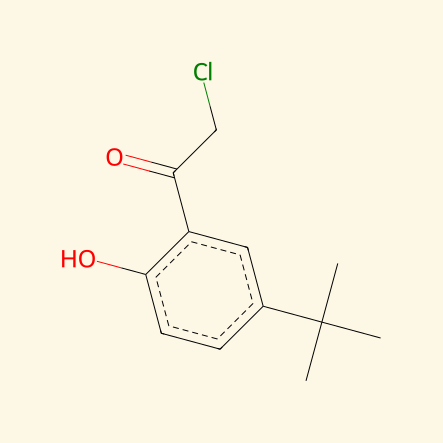 CC(C)(C)c1ccc(O)c(C(=O)CCl)c1